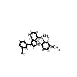 CC(=O)c1cccc(-c2cnn3c(N(C)c4cccc(C)c4)ccnc23)c1